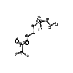 C=C(C)C(=O)OCCCS(C)(C)CCC